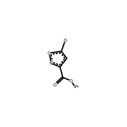 CC(C)OC(=O)c1cc([O])on1